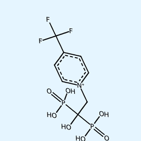 O=P(O)(O)C(O)(C[n+]1ccc(C(F)(F)F)cc1)P(=O)(O)O